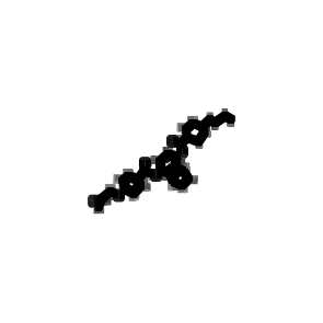 CCCCC1CCC(C(=O)Oc2ccc(OC(=O)c3ccc(OCC4CO4)cc3)c3c2C2CCC3C2)CC1